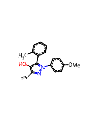 CCCc1nn(-c2ccc(OC)cc2)c(-c2ccccc2C)c1O